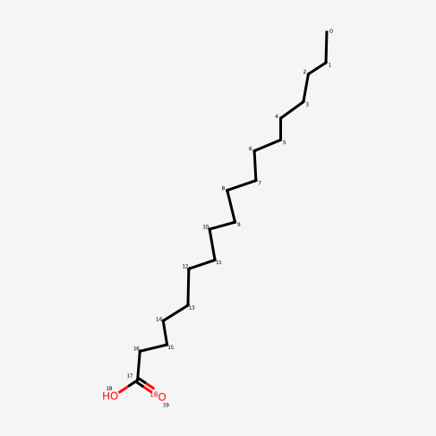 CCCCCCCCCCCCCCCCCC(O)=[18O]